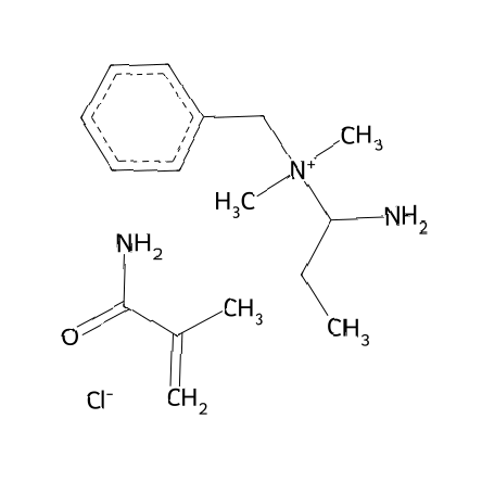 C=C(C)C(N)=O.CCC(N)[N+](C)(C)Cc1ccccc1.[Cl-]